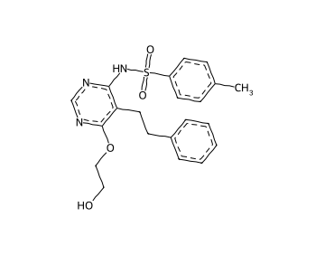 Cc1ccc(S(=O)(=O)Nc2ncnc(OCCO)c2CCc2ccccc2)cc1